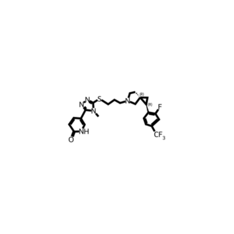 Cn1c(SCCCN2CC[C@@]3(C[C@H]3c3ccc(C(F)(F)F)cc3F)C2)nnc1-c1ccc(=O)[nH]c1